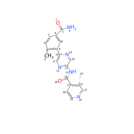 Cc1ccc(C(N)=O)cc1-c1cnc(NC(=O)c2ccncc2F)cn1